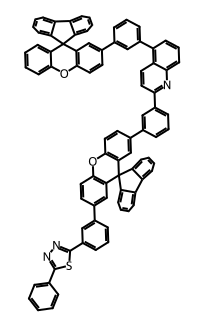 c1ccc(-c2nnc(-c3cccc(-c4ccc5c(c4)C4(c6cc(-c7cccc(-c8ccc9c(-c%10cccc(-c%11ccc%12c(c%11)C%11(c%13ccccc%13O%12)c%12ccccc%12-c%12ccccc%12%11)c%10)cccc9n8)c7)ccc6O5)c5ccccc5-c5ccccc54)c3)s2)cc1